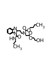 CCCCOC(=O)N(CCc1nc2ccccc2n1C(=O)NCCC)CC(=O)OCCO